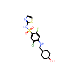 O=S(=O)(Nc1nccs1)c1cc(Cl)c(NCC2CCC(O)CC2)cc1F